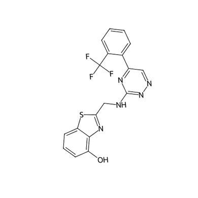 Oc1cccc2sc(CNc3nncc(-c4ccccc4C(F)(F)F)n3)nc12